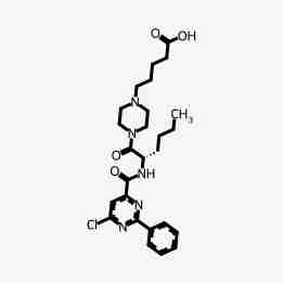 CCCC[C@H](NC(=O)c1cc(Cl)nc(-c2ccccc2)n1)C(=O)N1CCN(CCCCC(=O)O)CC1